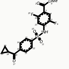 COC(=O)c1cc(F)c(NS(=O)(=O)c2ccc(C(=O)C3CC3)cc2)cc1F